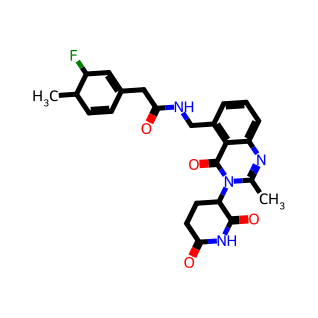 Cc1nc2cccc(CNC(=O)CC3=CC(F)C(C)C=C3)c2c(=O)n1C1CCC(=O)NC1=O